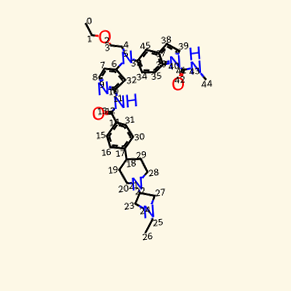 CCOCCN(c1ccnc(NC(=O)c2ccc(C3CCN(C4CN(CC)C4)CC3)cc2)c1)c1ccc2c(ccn2C(=O)NC)c1